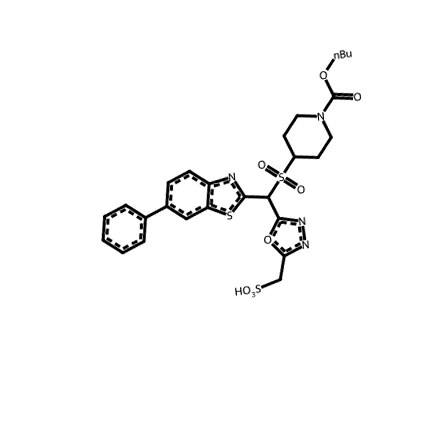 CCCCOC(=O)N1CCC(S(=O)(=O)C(c2nnc(CS(=O)(=O)O)o2)c2nc3ccc(-c4ccccc4)cc3s2)CC1